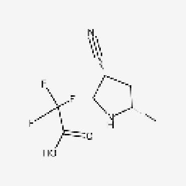 C[C@H]1C[C@@H](C#N)CN1.O=C(O)C(F)(F)F